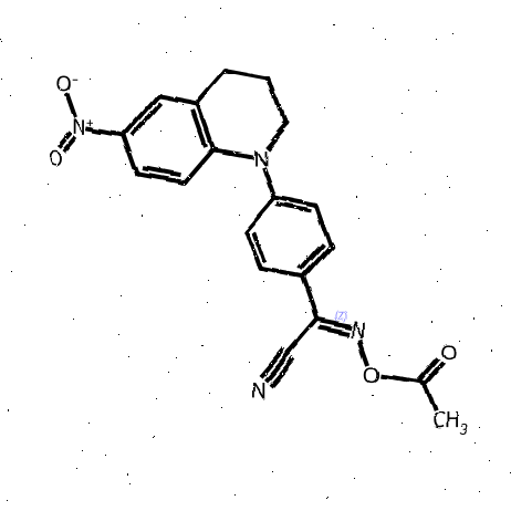 CC(=O)O/N=C(\C#N)c1ccc(N2CCCc3cc([N+](=O)[O-])ccc32)cc1